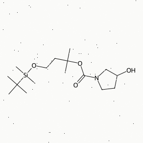 CC(C)(CCO[Si](C)(C)C(C)(C)C)OC(=O)N1CCC(O)C1